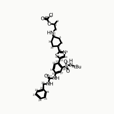 CC(CNC1CCC(c2ncc(-c3ccc(NC(=O)NCc4ccccc4)cc3S(=O)(=O)NC(C)(C)C)s2)CC1)OC(=O)Cl